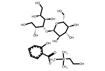 C[N+](C)(C)CCO.O=C([O-])c1ccccc1O.OC[C@@H](O)[C@@H](O[C@H]1O[C@H](CO)[C@@H](O)[C@H](O)[C@H]1O)[C@H](O)[C@@H](O)CO